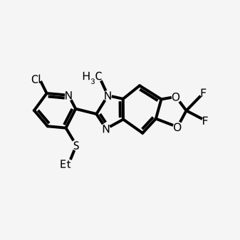 CCSc1ccc(Cl)nc1-c1nc2cc3c(cc2n1C)OC(F)(F)O3